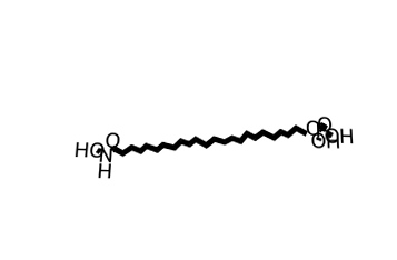 O=C(CCCCCCCCCCCCCCCCCCCCCCCOP(=O)(O)O)NO